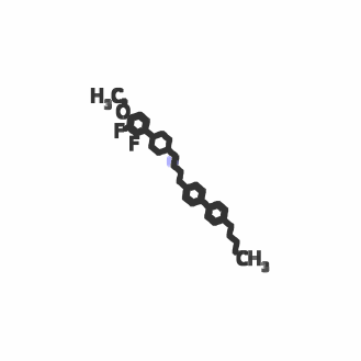 CCCCCc1ccc(-c2ccc(CC/C=C/C3CCC(c4ccc(OCC)c(F)c4F)CC3)cc2)cc1